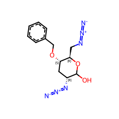 [N-]=[N+]=NC[C@H]1OC(O)[C@H](N=[N+]=[N-])C[C@@H]1OCc1ccccc1